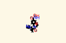 O=C(NO)c1ccc2c(c1)OCCN(C(=O)C1(Cn3ccnc3)CC1)C2